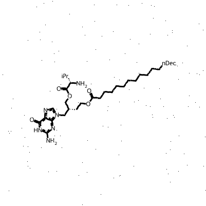 CCCCCCCCCCCCCCCCCCCCCC(=O)OCC[C@@H](COC(=O)[C@@H](N)C(C)C)Cn1cnc2c(=O)[nH]c(N)nc21